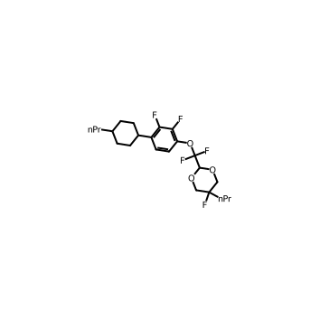 CCCC1CCC(c2ccc(OC(F)(F)C3OCC(F)(CCC)CO3)c(F)c2F)CC1